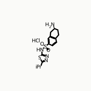 CC(C)c1nnc(NS(=O)(=O)c2ccc3c(c2)C[C@@H](N)CC3)s1.Cl